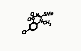 CSC1=NS(=O)(=O)c2cc(Cl)ccc2N1C